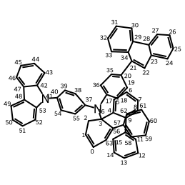 C1=CCC(c2ccccc2-c2ccccc2)(N(c2ccc(-c3cc4ccccc4c4ccccc34)cc2)c2ccc(-n3c4ccccc4c4ccccc43)cc2)C(c2ccccc2)=C1